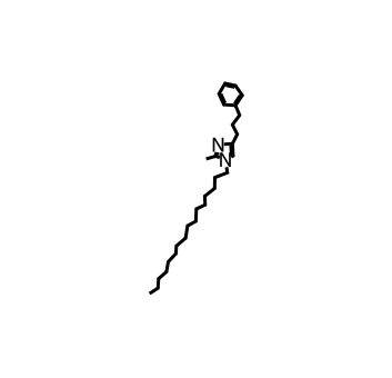 CCCCCCCCCCCCCCCCn1cc(CCCc2ccccc2)nc1C